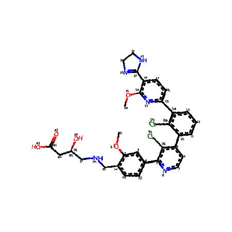 COc1cc(-c2nccc(-c3cccc(-c4ccc(C5=NCCN5)c(OC)n4)c3Cl)c2Cl)ccc1CNC[C@H](O)CC(=O)O